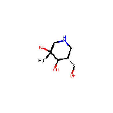 CC1(O)CNC[C@H](CO)[C@H]1O